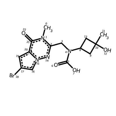 Cn1c(CN(C(=O)O)C2CC(C)(O)C2)nn2cc(Br)cc2c1=O